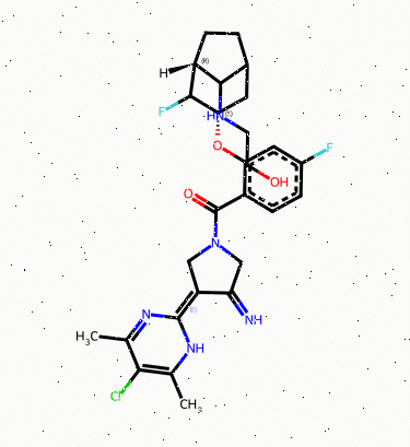 CC1=N/C(=C2\CN(C(=O)c3ccc(F)cc3O[C@H]3CC4CC[C@H](C4NCCO)C3F)CC2=N)NC(C)=C1Cl